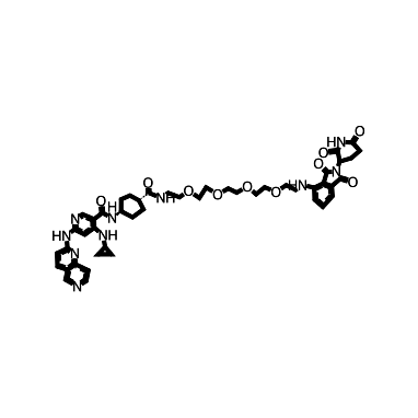 O=C1CCC(N2C(=O)c3cccc(NCCOCCOCCOCCOCCNC(=O)[C@H]4CC[C@H](NC(=O)c5cnc(Nc6ccc7cnccc7n6)cc5NC5CC5)CC4)c3C2=O)C(=O)N1